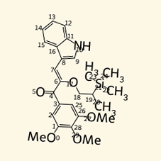 COc1cc(C(=O)/C(=C/c2c[nH]c3ccccc23)OCC(C)[Si](C)(C)C)cc(OC)c1OC